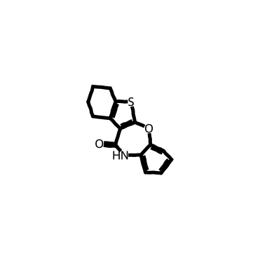 O=C1Nc2ccccc2Oc2sc3c(c21)CCCC3